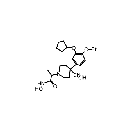 CCOc1ccc(C2(C#N)CCN(C(C)C(=O)NO)CC2)cc1OC1CCCC1.Cl